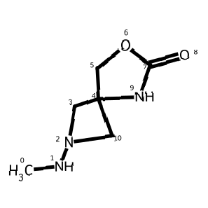 CNN1CC2(COC(=O)N2)C1